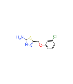 Nc1nnc(COc2cccc(Cl)c2)s1